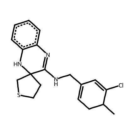 CC1CC=C(CNC2=Nc3ccccc3NC23CCSC3)C=C1Cl